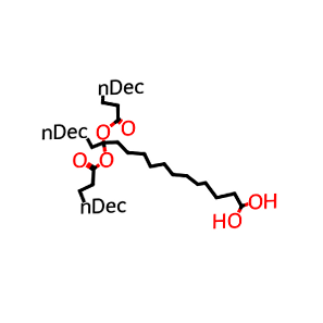 CCCCCCCCCCCCC(=O)OC(CCCCCCCCCCC)(CCCCCCCCCCCC(O)O)OC(=O)CCCCCCCCCCCC